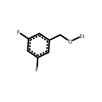 CCOCc1cc(F)cc(F)c1